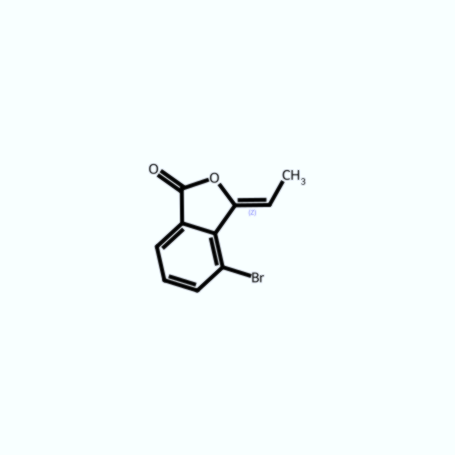 C/C=C1\OC(=O)c2cccc(Br)c21